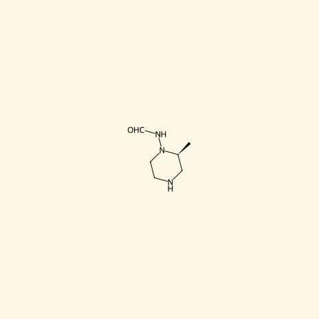 C[C@H]1CNCCN1NC=O